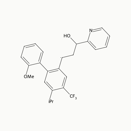 COc1ccccc1-c1cc(C(C)C)c(C(F)(F)F)cc1[CH]CC(O)c1ccccn1